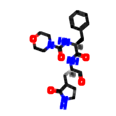 O=C[C@H](CC1CCNC1=O)NC(=O)[C@H](Cc1ccccc1)NC(=O)N1CCOCC1